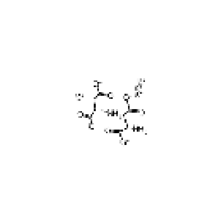 N[C@@H](CC(=O)[O-])C(=O)[O-].N[C@@H](CC(=O)[O-])C(=O)[O-].[K+].[K+].[K+].[K+]